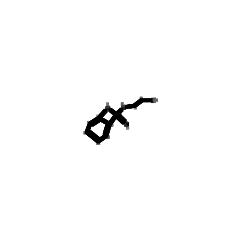 O=P1(OCCCl)Oc2ccccc21